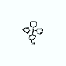 Oc1ccc(C(c2ccccc2)(c2ccccc2)N2CCCCC2)cc1